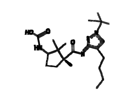 CCCCc1cn(C(C)(C)C)sc1=NC(=O)[C@]1(C)CCC(NC(=O)O)C1(C)C